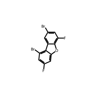 Fc1cc(Br)c2c(c1)oc1c(F)cc(Br)cc12